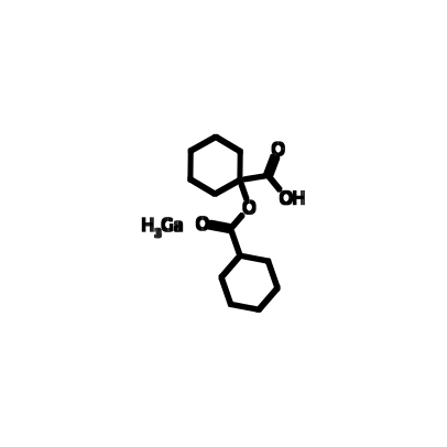 O=C(OC1(C(=O)O)CCCCC1)C1CCCCC1.[GaH3]